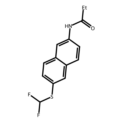 CCC(=O)Nc1ccc2cc(SC(F)F)ccc2c1